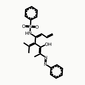 C=C/C=C(/NS(=O)(=O)c1ccccc1)C(=C(C)C)/C(O)=C(C)/N=N/c1ccccc1